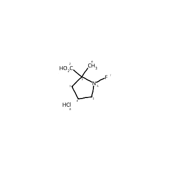 CC1(C(=O)O)CCCN1F.Cl